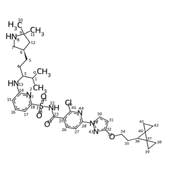 CC(C)C(CC[C@H]1CNC(C)(C)C1)Nc1cccc(S(=O)(=O)NC(=O)c2ccc(-n3ccc(OCCC4C5(CC5)C45CC5)n3)nc2Cl)n1